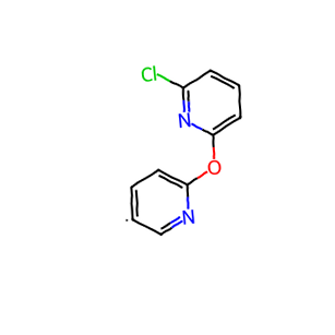 Clc1cccc(Oc2cc[c]cn2)n1